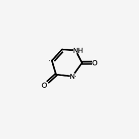 O=C1[C]=CNC(=O)[N]1